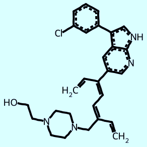 C=C/C(=C\C=C(/C=C)c1cnc2[nH]cc(-c3cccc(Cl)c3)c2c1)CN1CCN(CCO)CC1